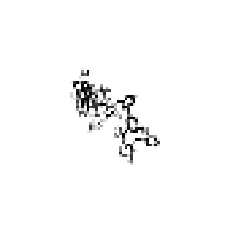 COc1c(CN2O[C@@H](CO)C([C@H](C)O)[C@H]2C(=O)N[C@H]2C[C@H]3C[C@@H]([C@@H]2C)C3(C)C)cccc1-c1cc(C(=O)N2CCN(C)C[C@@H]2Cc2ccccc2)cc(N(C)C)c1